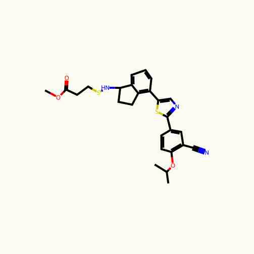 COC(=O)CCSNC1CCc2c(-c3cnc(-c4ccc(OC(C)C)c(C#N)c4)s3)cccc21